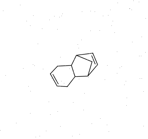 C1=CCC2C3C=CC(C3)C2C1